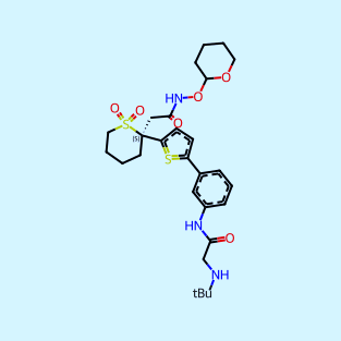 CC(C)(C)NCC(=O)Nc1cccc(-c2ccc([C@@]3(CC(=O)NOC4CCCCO4)CCCCS3(=O)=O)s2)c1